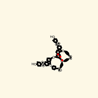 O=S1(=O)c2ccc(cc2)OC(c2ccc(S(=O)(=O)c3ccc(O)cc3)cc2)c2ccccc2COCc2ccccc2C2(OCc3ccccc3C(c3ccc(S(=O)(=O)c4ccc(O)cc4)cc3)Oc3ccc(cc3)S(=O)(=O)c3ccc(cc3)O2)Oc2ccc1cc2